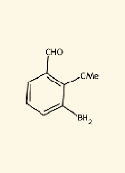 Bc1cccc(C=O)c1OC